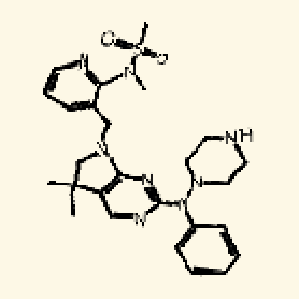 CN(c1ncccc1CN1CC(C)(C)c2cnc(N(c3ccccc3)N3CCNCC3)nc21)S(C)(=O)=O